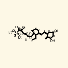 C=C1/C(=C\C=C2/CCC[C@@]3(C)C2CC[C@@H]3[C@H](C)/C=C/C(=O)C(CC)P(=O)(OCC)OCC)C[C@@H](O)C[C@@H]1O